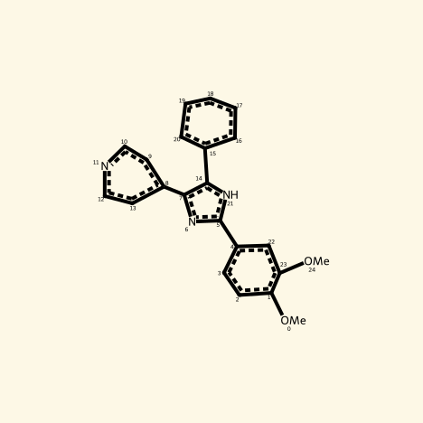 COc1ccc(-c2nc(-c3ccncc3)c(-c3ccccc3)[nH]2)cc1OC